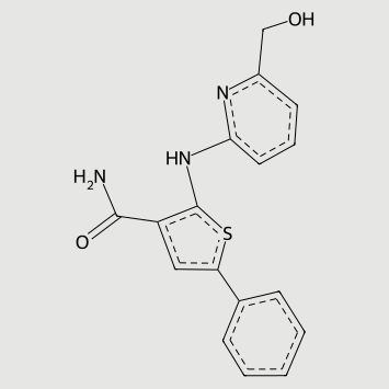 NC(=O)c1cc(-c2ccccc2)sc1Nc1cccc(CO)n1